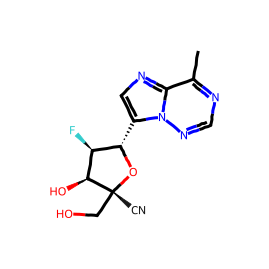 Cc1ncnn2c([C@@H]3O[C@](C#N)(CO)[C@@H](O)[C@H]3F)cnc12